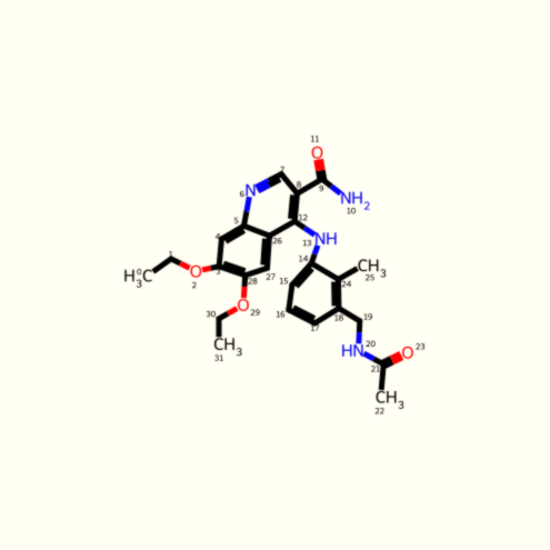 CCOc1cc2ncc(C(N)=O)c(Nc3cccc(CNC(C)=O)c3C)c2cc1OCC